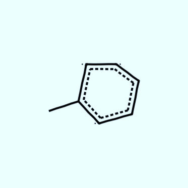 Cc1[c][c]cc[c]1